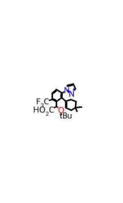 CC1(C)CC=C(c2c(-n3cccn3)ccc(C(F)(F)F)c2C(OC(C)(C)C)C(=O)O)CC1